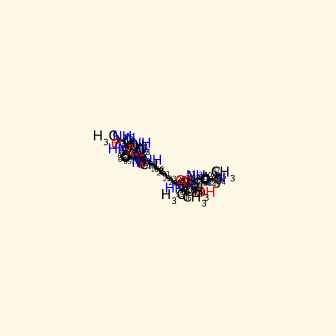 CNC(=O)c1cnc(Nc2ccc(C(=O)NCCCCCCCCCC(=O)N[C@H](C(=O)N3C[C@H](O)C[C@@]3(Cc3ccc(-c4scnc4C)cc3)C(N)=O)C(C)(C)C)cn2)cc1Nc1cccc(-c2ncn(C)n2)c1OC